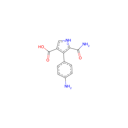 NC(=O)c1[nH]cc(C(=O)O)c1-c1ccc(N)cc1